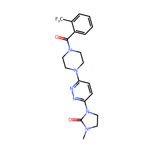 CN1CCN(c2ccc(N3CCN(C(=O)c4ccccc4C(F)(F)F)CC3)nn2)C1=O